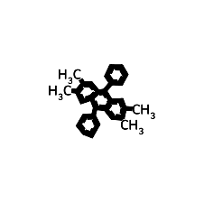 Cc1cc2c(-c3ccccc3)c3cc(C)c(C)cc3c(-c3ccccc3)c2cc1C